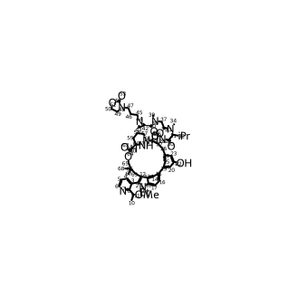 CCn1c(-c2cccnc2[C@H](C)OC)c2c3cc(ccc31)-c1cc(O)cc(c1)C[C@H](NC(=O)C(C(C)C)N(C)C(=O)CN(C)C(=O)[C@H]1CN1CCCN1CCOC1=O)C(=O)N1CCC[C@H](N1)C(=O)OCC(C)(C)C2